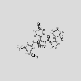 O=C(c1nnn(Cc2cc(C(F)(F)F)cc(C(F)(F)F)c2)c1N1CC[S+]([O-])CC1)N1CCCC1c1ccccc1Cl